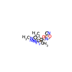 CCC(c1cc(CN2CCOc3ncccc3[S+]2[O-])c(C)s1)c1ccc(N(N)CC)c(N)c1C